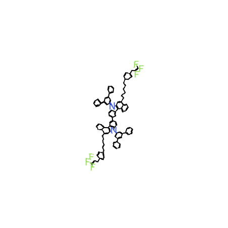 FC(F)=C(F)CC1=CCC(CCCCCCc2cc3c(c4ccccc24)c2cc(-c4ccc5c(c4)c4c(n5-c5cc(-c6ccccc6)cc(-c6ccccc6)c5)C=C(CCCCCCc5ccc(CC(F)=C(F)F)cc5)C5CC=CC=C45)ccc2n3-c2cc(-c3ccccc3)cc(-c3ccccc3)c2)C=C1